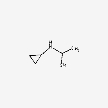 CC(S)NC1CC1